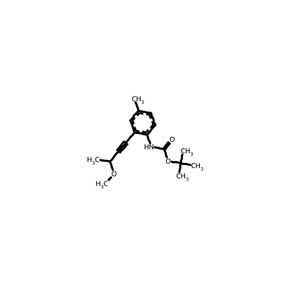 COC(C)C#Cc1cc(C)ccc1NC(=O)OC(C)(C)C